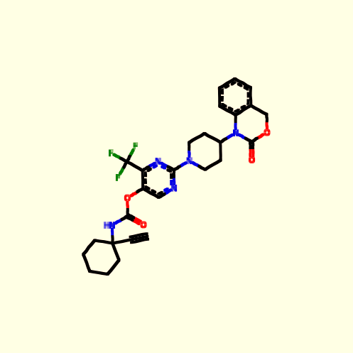 C#CC1(NC(=O)Oc2cnc(N3CCC(N4C(=O)OCc5ccccc54)CC3)nc2C(F)(F)F)CCCCC1